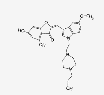 COc1ccc2c(c1)c(C=C1Oc3cc(O)cc(O)c3C1=O)cn2CCN1CCN(CCO)CC1